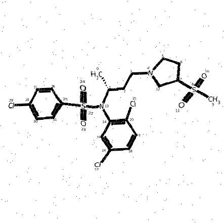 C[C@H](CCN1CCC(S(C)(=O)=O)C1)N(c1cc(Cl)ccc1Cl)S(=O)(=O)c1ccc(Cl)cc1